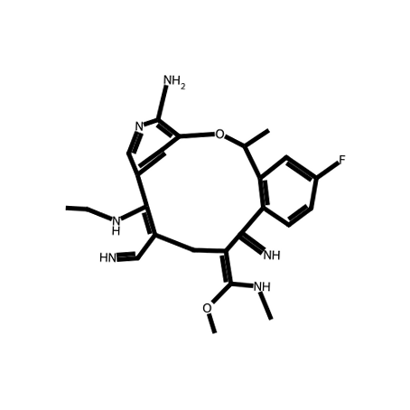 CCN/C1=C(\C=N)C/C(=C(/NC)OC)C(=N)c2ccc(F)cc2C(C)Oc2cc1cnc2N